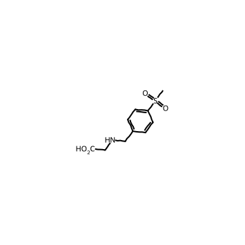 CS(=O)(=O)c1ccc(CNCC(=O)O)cc1